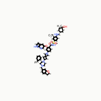 CC(C)c1ccccc1[C@@H]1CN(Cc2ccc3c(c2)OCC3)CCN1C1CC2(C1)CN(c1ccc(C(=O)NS(=O)(=O)c3ccc(NC[C@H]4CC[C@](C)(O)CC4)c([N+](=O)[O-])c3)c(Oc3cnc4[nH]ccc4c3)c1)C2